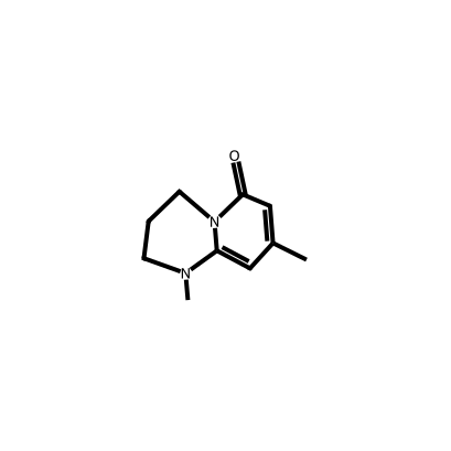 Cc1cc2n(c(=O)c1)CCCN2C